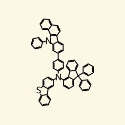 c1ccc(-n2c3cc(-c4ccc(N(c5ccc6sc7ccccc7c6c5)c5cccc6c5-c5ccccc5C6(c5ccccc5)c5ccccc5)cc4)ccc3c3ccc4ccccc4c32)cc1